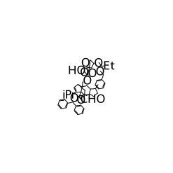 CCC(OCc1ccccc1)OC1C2OC3(OCC45CC6C(C)CCC6C6(C=O)CC4C=C(C(C)C)C65C(=O)OC(c4ccccc4)c4ccccc4)OC2OC1C3O